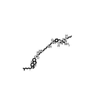 CCCCNc1nc(N)c2nc(O)n(Cc3ccc(C(=O)NCCCNCCCCNCCCNC(=O)O[C@H]4CC[C@@]5(C)C(=CC[C@H]6[C@@H]7CC[C@H]([C@H](C)CCCC(C)C)[C@@]7(C)CC[C@@H]65)C4)cc3)c2n1